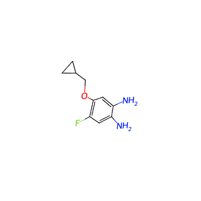 Nc1cc(F)c(OCC2CC2)cc1N